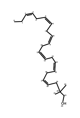 CC/C=C\C/C=C\C/C=C\C/C=C\C/C=C\C/C=C\CC(C)(C)CO